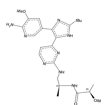 COc1cc(-c2nc(C(C)(C)C)[nH]c2-c2ccnc(NC[C@H](C)NC(=O)[C@@H](C)OC)n2)cnc1N